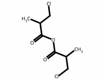 CC(CCl)C(=O)OC(=O)C(C)CCl